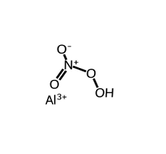 O=[N+]([O-])OO.[Al+3]